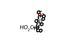 C=C(/C=C/C1=C(Cl)C(=C/C=C2/N(CCC(=O)O)c3ccc4ccccc4c3C2(C)Cc2ccccc2C)/CCC1)C(C)(Cc1ccccc1C)c1c(C)ccc2ccccc12